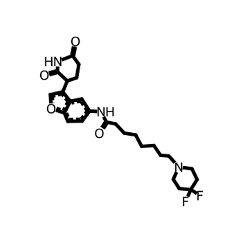 O=C1CCC(c2coc3ccc(NC(=O)CCCCCCCN4CCC(F)(F)CC4)cc23)C(=O)N1